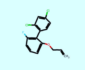 C=CCOc1cccc(F)c1-c1ccc(Cl)cc1Cl